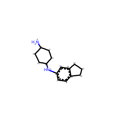 NC1CCC(Nc2ccc3c(c2)CCC3)CC1